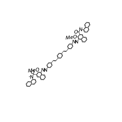 COc1c(C(=O)N(C)c2cccc3ccccc23)cc2ccccc2c1N=Nc1ccc(C=Cc2ccc(C=Cc3ccc(N=Nc4c(OC)c(C(=O)N(C)c5cccc6ccccc56)cc5ccccc45)cc3)cc2)cc1